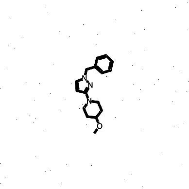 COC1CCN(c2ccn(Cc3ccccc3)n2)CC1